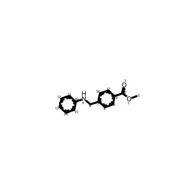 COC(=O)c1ccc(CNc2ccccc2)cc1